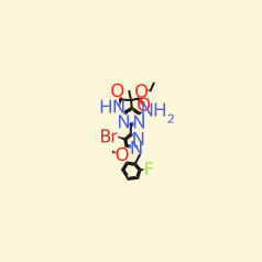 CCOC(=O)C1(C)C(=O)Nc2nc(-c3nn(Cc4ccccc4F)c(OC)c3Br)nc(N)c21